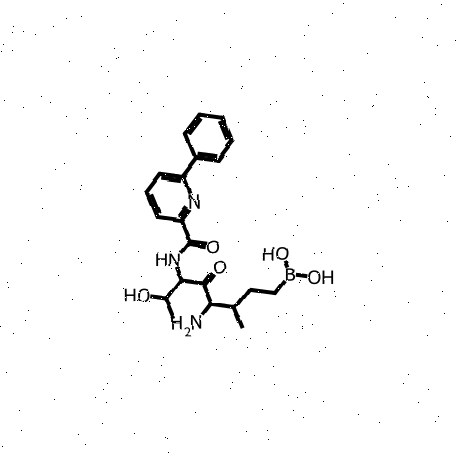 CC(O)C(NC(=O)c1cccc(-c2ccccc2)n1)C(=O)C(N)C(C)CCB(O)O